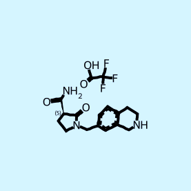 NC(=O)[C@@H]1CCN(Cc2ccc3c(c2)CNCC3)C1=O.O=C(O)C(F)(F)F